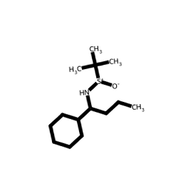 CCCC(N[S+]([O-])C(C)(C)C)C1CCCCC1